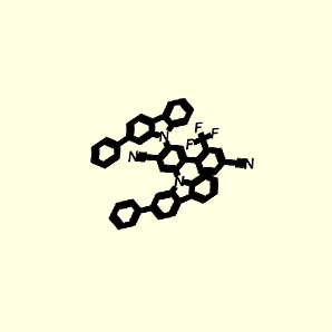 N#Cc1ccc(-c2cc(-n3c4ccccc4c4ccc(-c5ccccc5)cc43)c(C#N)cc2-n2c3ccccc3c3ccc(-c4ccccc4)cc32)c(C(F)(F)F)c1